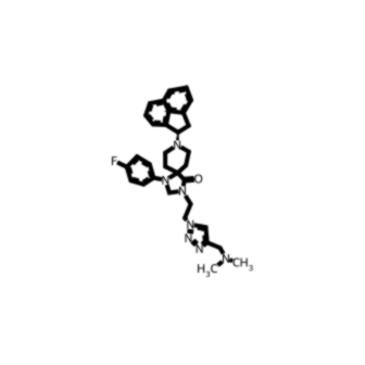 CN(C)Cc1cn(CCN2CN(c3ccc(F)cc3)C3(CCN([C@@H]4Cc5cccc6cccc4c56)CC3)C2=O)nn1